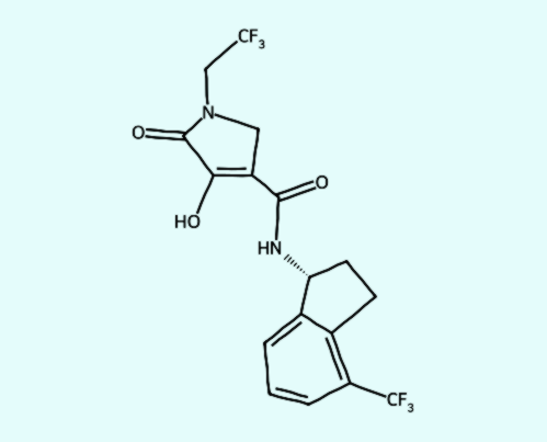 O=C(N[C@@H]1CCc2c1cccc2C(F)(F)F)C1=C(O)C(=O)N(CC(F)(F)F)C1